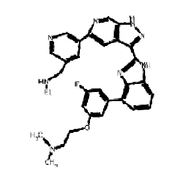 CCNCc1cncc(-c2cc3c(-c4nc5c(-c6cc(F)cc(OCCN(C)C)c6)cccc5[nH]4)n[nH]c3cn2)c1